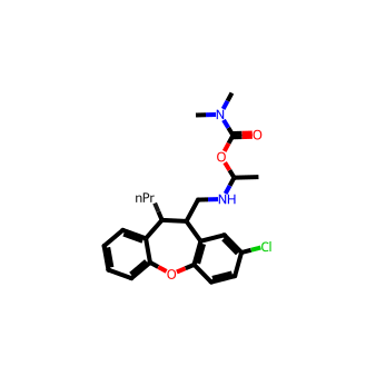 CCCC1c2ccccc2Oc2ccc(Cl)cc2C1CNC(C)OC(=O)N(C)C